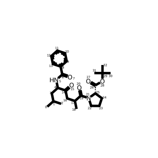 CC(C)CC(NC(=O)c1ccccc1)C(=O)CC(C)C(=O)N1CCC[C@H]1C(=O)OC(C)(C)C